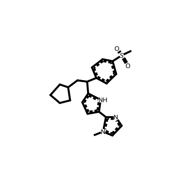 Cn1ccnc1-c1ccc(C(CC2CCCC2)c2ccc(S(C)(=O)=O)cc2)[nH]1